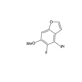 COc1cc2occc2c(C(C)C)c1F